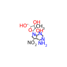 CC1(O)[C@H](O)[C@@H](CO)O[C@H]1n1cc([N+](=O)[O-])c2c(N)ncnc21